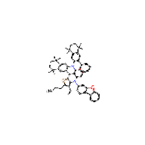 C=Cc1c(CCC(C)(C)C)sc2c1N(c1ccc3c(c1)oc1ccccc13)c1cc(C)cc3c1B2c1cc2c(cc1N3c1cc3c(cc1-c1ccccc1)C(C)(C)CCC3(C)C)C(C)(C)CCC2(C)C